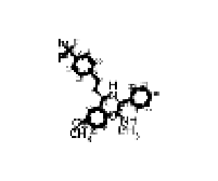 CNC(=O)[C@@H](N[C@H](CCc1ccc(C(F)(F)F)cc1)c1cccc(OC)c1)c1ccccc1